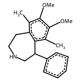 COc1c(C)c2c(c(C)c1OC)C(c1ccccc1)CNCC2